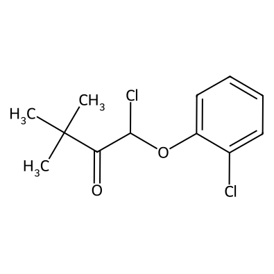 CC(C)(C)C(=O)C(Cl)Oc1ccccc1Cl